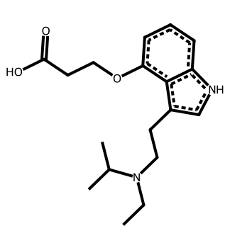 CCN(CCc1c[nH]c2cccc(OCCC(=O)O)c12)C(C)C